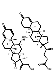 CC(C)(C)C(=O)SCC(=O)[C@@]1(O)CC[C@H]2[C@@H]3CCC4=CC(=O)CC[C@]4(C)[C@H]3[C@@H](O)C[C@@]21C.C[C@]12C=CC(=O)C=C1CC[C@H]1[C@@H]3C[C@@H](O)[C@](O)(C(=O)CO)[C@@]3(C)C[C@H](O)[C@@]12F